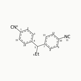 [C-]#[N+]c1ccc(C(CC)c2ccc([N+]#[C-])cc2)cc1